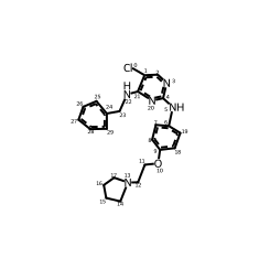 Clc1cnc(Nc2ccc(OCCN3CCCC3)cc2)nc1NCc1ccccc1